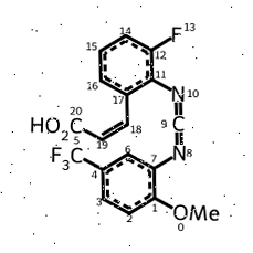 COc1ccc(C(F)(F)F)cc1N=C=Nc1c(F)cccc1C=CC(=O)O